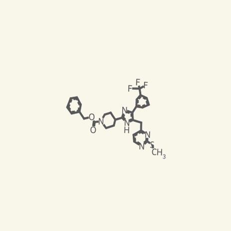 CSc1nccc(Cc2[nH]c(C3CCN(C(=O)OCc4ccccc4)CC3)nc2-c2cccc(C(F)(F)F)c2)n1